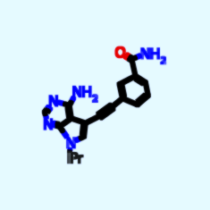 CC(C)n1cc(C#Cc2cccc(C(N)=O)c2)c2c(N)ncnc21